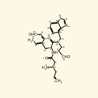 C=CCN(N)CC(=O)N[C@@H](CC(/C=N\C=O)=C/C)C(=O)N(CCC=O)Cc1cccc2scnc12